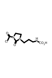 O=C(O)NCCCN1CCN(C(=O)Cl)C1=O